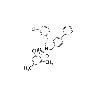 Cc1cc(C)c(S(=O)(=O)N(CCc2cccc(Cl)c2)Cc2ccc(-c3ccccc3)cc2)c(C)c1